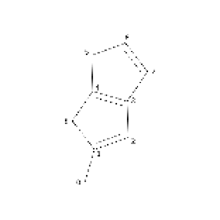 CC1=CC2=C(CC=C2)C1